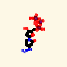 NNc1ccn([C@H]2C[C@H](O)[C@@H](COP(=O)(O)OP(=O)(O)OP(=O)(O)O)O2)c(=O)c1